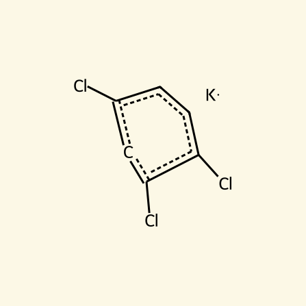 Clc1ccc(Cl)c(Cl)c1.[K]